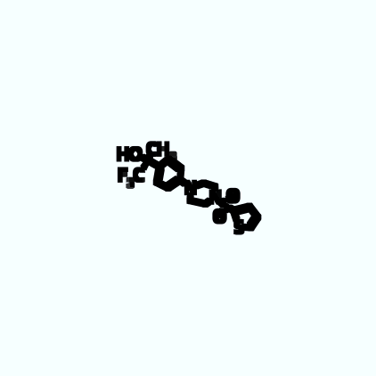 C[C@@](O)(c1ccc(N2CCN(S(=O)(=O)c3cccs3)CC2)cc1)C(F)(F)F